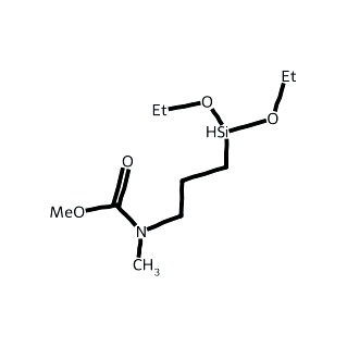 CCO[SiH](CCCN(C)C(=O)OC)OCC